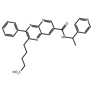 CC(NC(=O)c1cnc2nc(-c3ccccc3)c(CCCCC(=O)O)nc2c1)c1ccncc1